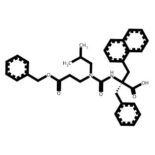 CC(C)CN(CCC(=O)OCc1ccccc1)C(=O)N[C@@](Cc1ccccc1)(Cc1cccc2ccccc12)C(=O)O